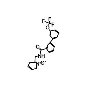 O=C(NCc1cccc[n+]1[O-])c1cccc(-c2cccc(OC(F)(F)F)c2)c1